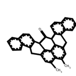 Cc1cc2c3c4c5c(cc(C)c14)Cc1c(ccc4ccccc14)C5C(=O)C3c1ccc3ccccc3c1C2